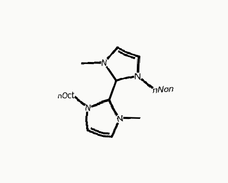 CCCCCCCCCN1C=CN(C)C1C1N(C)C=CN1CCCCCCCC